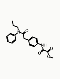 CCCN(C(=O)Cc1ccc(NC(=O)C(=O)OC)cc1)c1ccccc1